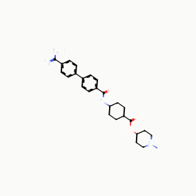 CN1CCC(OC(=O)C2CCC(NC(=O)c3ccc(-c4ccc(C(=N)N)cc4)cc3)CC2)CC1